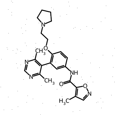 Cc1cnoc1C(=O)Nc1ccc(OCCN2CCCC2)c(-c2c(C)ncnc2C)c1